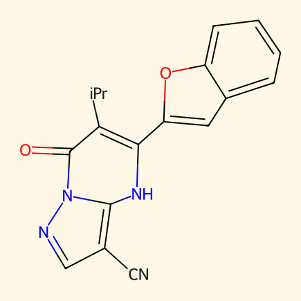 CC(C)c1c(-c2cc3ccccc3o2)[nH]c2c(C#N)cnn2c1=O